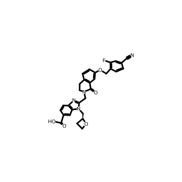 N#Cc1ccc(COc2ccc3c(c2)C(=O)N(Cc2nc4ccc(C(=O)O)cc4n2C[C@@H]2CCO2)CC3)c(F)c1